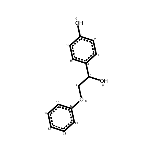 Oc1ccc(C(O)COc2ccccc2)cc1